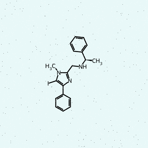 C[C@@H](NCc1nc(-c2ccccc2)c(I)n1C)c1ccccc1